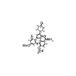 COc1cc(F)c(-n2cc(C3CCC(=O)CC3)nc2-c2cc(OC(F)F)ccc2C(N)=O)c(F)c1